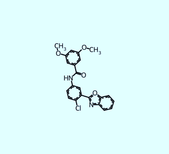 COc1cc(OC)cc(C(=O)Nc2ccc(Cl)c(-c3nc4ccccc4o3)c2)c1